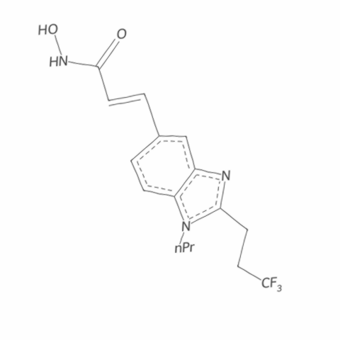 CCCn1c(CCC(F)(F)F)nc2cc(/C=C/C(=O)NO)ccc21